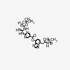 CC(C)(C)OC(=O)NC(=N)Nc1ncc(C(=O)Oc2ccc(CC(=O)NS(C)(=O)=O)n3ncnc23)cn1